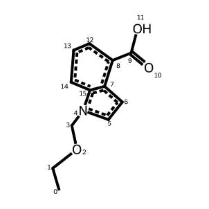 CCOCn1ccc2c(C(=O)O)cccc21